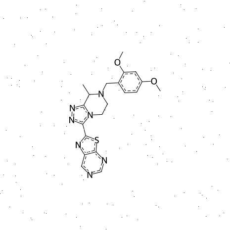 COc1ccc(CN2CCn3c(-c4nc5cncnc5s4)nnc3C2C)c(OC)c1